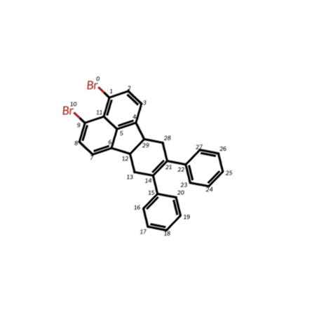 Brc1ccc2c3c(ccc(Br)c13)C1CC(c3ccccc3)=C(c3ccccc3)CC21